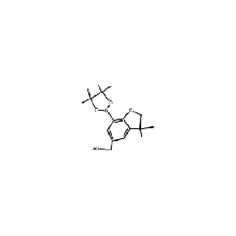 CC1(C)COc2c(B3OC(C)(C)C(C)(C)O3)cc(CO)cc21